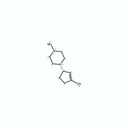 CC(C)(C)N1CCN([C@@H]2C=C(C#N)CC2)CC1